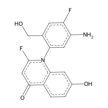 Nc1cc(-n2c(F)cc(=O)c3ccc(O)cc32)c(CO)cc1F